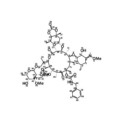 CON=C1CC(C)O[C@@H](O[C@@H]2[C@@H](C)[C@H](O[C@H]3C[C@@]4(C)OC(=O)OC4[C@H](C)O3)[C@@H](C)C(=O)O[C@H](C(C)COC3O[C@H](C)[C@@H](O)[C@@H](OC)[C@H]3OC)[C@H](C)[C@@H](OC(=O)CC(C)C)[C@@H](C)C(=O)[C@@](C)(OC(=O)NCc3ccccc3)C[C@@H]2C)[C@@H]1O